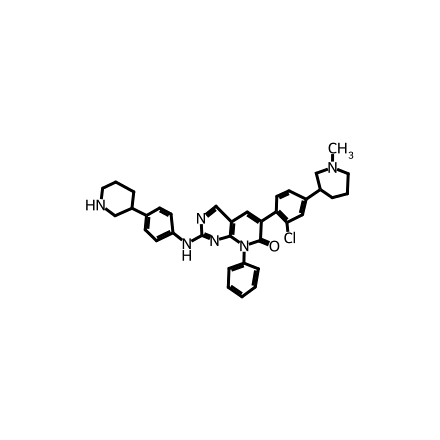 CN1CCCC(c2ccc(-c3cc4cnc(Nc5ccc(C6CCCNC6)cc5)nc4n(-c4ccccc4)c3=O)c(Cl)c2)C1